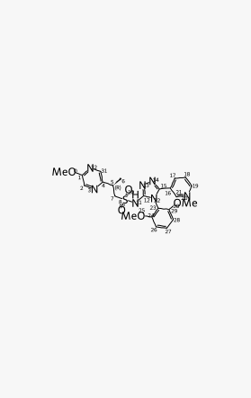 COc1cnc([C@@H](C)CS(=O)(=O)Nc2nnc(-c3cccnc3)n2-c2c(OC)cccc2OC)cn1